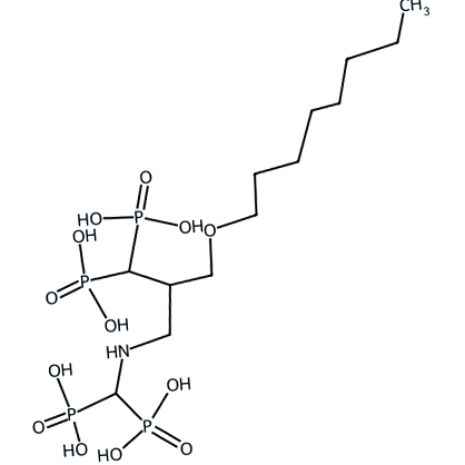 CCCCCCCCOCC(CNC(P(=O)(O)O)P(=O)(O)O)C(P(=O)(O)O)P(=O)(O)O